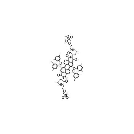 CO[Si](COCCNC(=O)C(CC(C)C)N1C(=O)c2cc(Oc3cc(C)cc(C)c3)c3c4c(Oc5cc(C)cc(C)c5)cc5c6c(cc(Oc7cc(C)cc(C)c7)c(c7c(Oc8cc(C)cc(C)c8)cc(c2c37)C1=O)c64)C(=O)N(C(CC(C)C)C(=O)NCCOC[Si](OC)(OC)OC)C5=O)(OC)OC